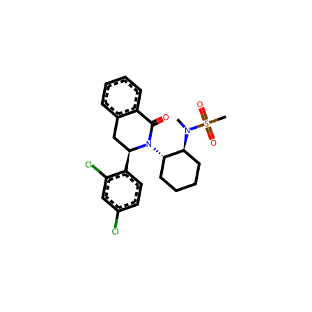 CN([C@H]1CCCC[C@@H]1N1C(=O)c2ccccc2C[C@@H]1c1ccc(Cl)cc1Cl)S(C)(=O)=O